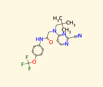 CC(C)(C)CN(CC(=O)Nc1ccc(OC(F)(F)F)cc1)c1ccnc(C#N)n1